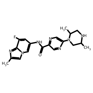 Cc1cn2cc(NC(=O)c3cnc(N4CC(C)NCC4C)cn3)cc(F)c2n1